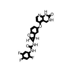 O=C1NCc2c(Oc3ccc4c(c3)[C@H]3[C@H](NC(=O)Nc5cc(F)c(F)cc5F)[C@H]3O4)ccnc2N1